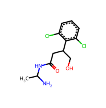 CC(N)NC(=O)CC(CO)c1c(Cl)cccc1Cl